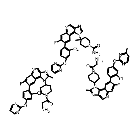 COc1cc(Oc2ncccn2)ccc1-c1cc2c(cc1F)ncc1ncn(C3(C)CCN(C(N)=O)CC3)c12.Cc1ccnc(Oc2ccc(-c3cc4c(cc3F)ncc3nc(C)n(C5CCN(C(=O)CN)CC5)c34)c(Cl)c2)n1.Cc1nc2cnc3cc(F)c(-c4ccc(Oc5ncccn5)cc4Cl)cc3c2n1C1CCN(C(=O)CN)CC1